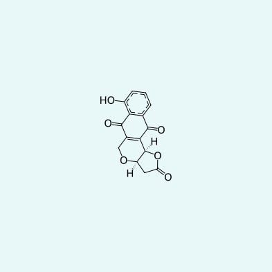 O=C1C[C@H]2OCC3=C(C(=O)c4cccc(O)c4C3=O)[C@H]2O1